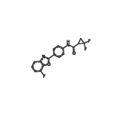 O=C(Nc1ccc(-c2nc3cccc(F)c3o2)cc1)C1CC1(F)F